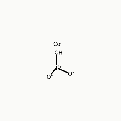 [Co].[O-][I+2]([O-])O